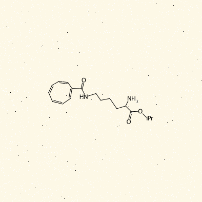 CC(C)OC(=O)C(N)CCCCNC(=O)C1=C/C=C\C=C/C=C\1